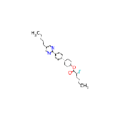 CCCCCc1cnc(-c2ccc([C@H]3CC[C@H](OC(=O)[C@@H](F)CCCC)CC3)cc2)nc1